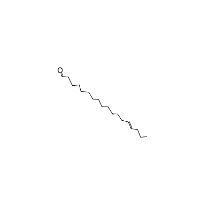 CCC/C=C/C/C=C/CCCCCCCCCC=O